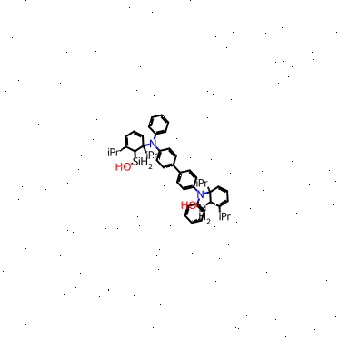 CC(C)C1=CC=CC(C(C)C)(N(c2ccccc2)c2ccc(-c3ccc(N(c4ccccc4)C4(C(C)C)C=CC=C(C(C)C)C4[SiH2]O)cc3)cc2)C1[SiH2]O